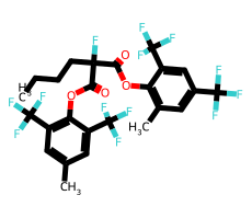 CCCCC(F)(C(=O)Oc1c(C)cc(C(F)(F)F)cc1C(F)(F)F)C(=O)Oc1c(C(F)(F)F)cc(C)cc1C(F)(F)F